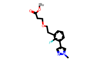 Cn1cc(-c2cccc(CCOCCC(=O)OC(C)(C)C)c2F)cn1